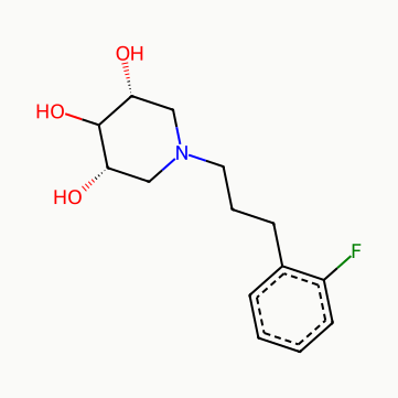 OC1[C@H](O)CN(CCCc2ccccc2F)C[C@@H]1O